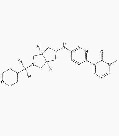 [2H]C([2H])(C1CCOCC1)N1C[C@H]2CC(Nc3ccc(-c4cccn(C)c4=O)nn3)C[C@H]2C1